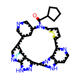 O=C(C1CCCC1)n1c2cncc(c2)c2cnc3[nH]nc(c4nc5c(ccnc5c5ccc1s5)[nH]4)c3c2F